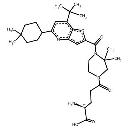 CC1(C)CCC(c2cc(C(C)(C)C)c3oc(C(=O)N4CCN(C(=O)CC[C@H](N)C(=O)O)CC4(C)C)cc3n2)CC1